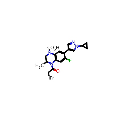 CC(C)CC(=O)N1c2cc(F)c(-c3cnn(C4CC4)c3)cc2N(C(=O)O)CC1C